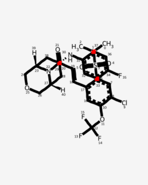 CN(C)S(=O)(=O)c1cc(Cl)c(OC(F)(F)F)cc1/C=C/C(=O)N1[C@@H]2COC[C@H]1C[C@@H](Nc1ccc(F)cc1)C2